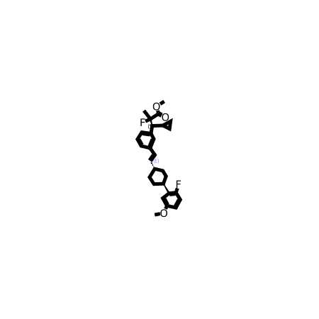 COC(=O)C(C)(F)[C@H](c1cccc(/C=C/[C@H]2CC[C@H](c3cc(OC)ccc3F)CC2)c1)C1CC1